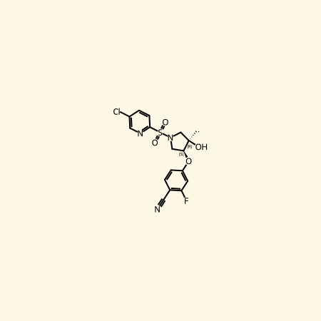 [CH2][C@@]1(O)CN(S(=O)(=O)c2ccc(Cl)cn2)C[C@@H]1Oc1ccc(C#N)c(F)c1